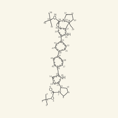 CC(C)(C)OC(=O)N1CCCC1c1ncc(-c2ccc(-c3ccc(-c4cnc(C5(C)CCCN5C(=O)OC(C)(C)C)[nH]4)cc3)cc2)[nH]1